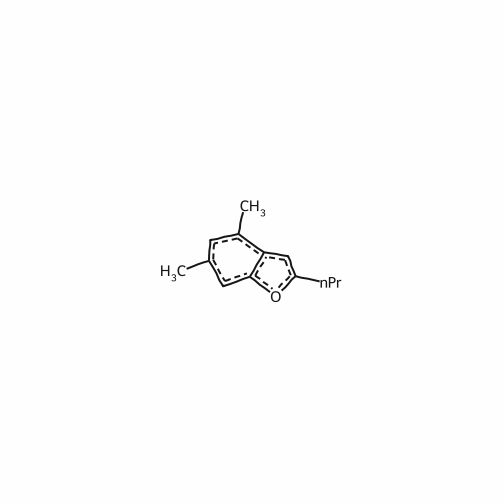 CCCc1cc2c(C)cc(C)cc2o1